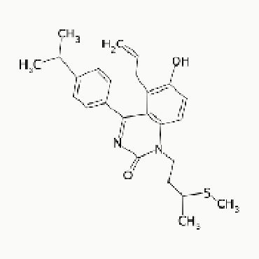 C=CCc1c(O)ccc2c1c(-c1ccc(C(C)C)cc1)nc(=O)n2CCC(C)SC